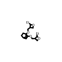 CCC1OCC1COC1CC2CCC1(OCC1COC1CC)C2